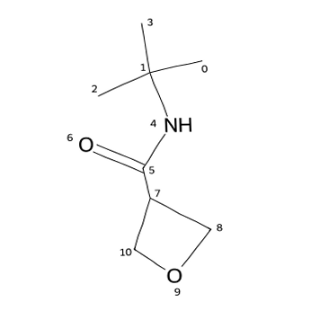 CC(C)(C)NC(=O)C1COC1